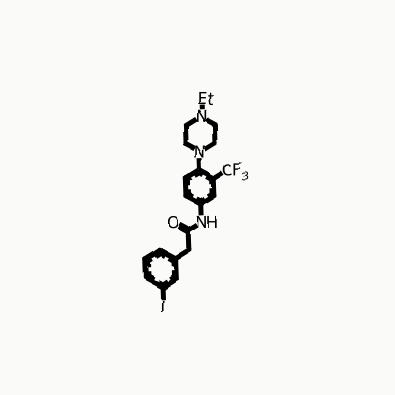 CCN1CCN(c2ccc(NC(=O)Cc3cccc(I)c3)cc2C(F)(F)F)CC1